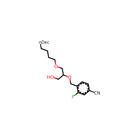 CCCCCCCCCCCCCCOCC(CO)OCc1ccc(C#N)cc1F